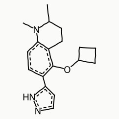 CC1CCc2c(ccc(-c3ccn[nH]3)c2OC2CCC2)N1C